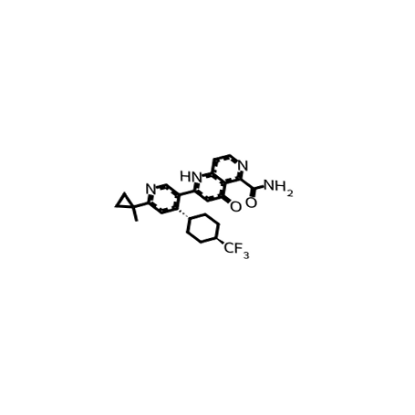 CC1(c2cc([C@H]3CC[C@H](C(F)(F)F)CC3)c(-c3cc(=O)c4c(C(N)=O)nccc4[nH]3)cn2)CC1